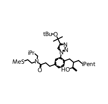 C=C(O)C(Cc1ccc(CCC(=O)N(CCSC)CC(C)C)cc1-n1cc(C(C)(C)OC(C)(C)C)nn1)CC(C)CCC